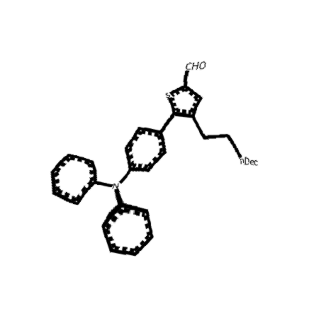 CCCCCCCCCCCCc1cc(C=O)sc1-c1ccc(N(c2ccccc2)c2ccccc2)cc1